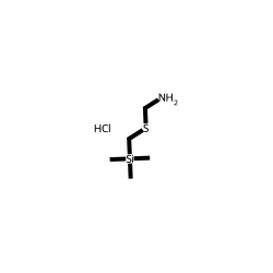 C[Si](C)(C)CSCN.Cl